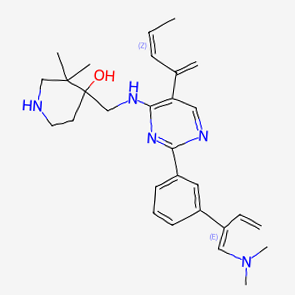 C=C/C(=C\N(C)C)c1cccc(-c2ncc(C(=C)/C=C\C)c(NCC3(O)CCNCC3(C)C)n2)c1